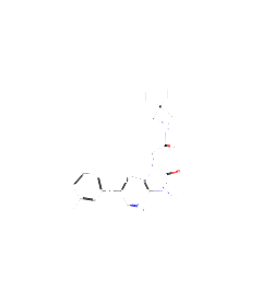 Cc1cccc(-c2cnc3c(c2)n(CC(=O)N2CC(F)(F)C2)c(=O)n3C)c1